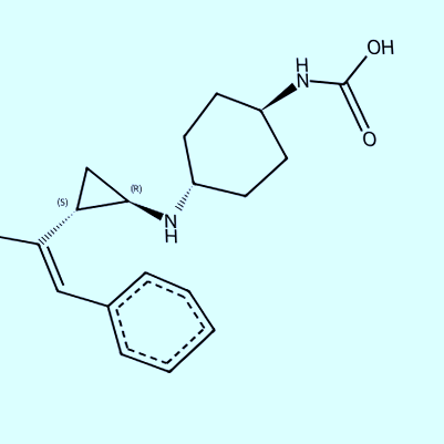 CC(=Cc1ccccc1)[C@@H]1C[C@H]1N[C@H]1CC[C@H](NC(=O)O)CC1